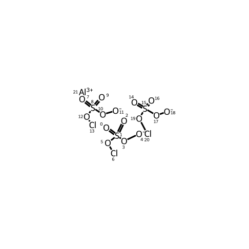 O=S(=O)(O[O-])OCl.O=S(=O)(O[O-])OCl.O=S(=O)(O[O-])OCl.[Al+3]